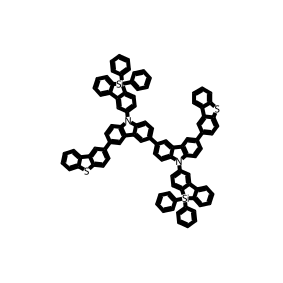 c1ccc([Si]2(c3ccccc3)c3ccccc3-c3cc(-n4c5ccc(-c6ccc7sc8ccccc8c7c6)cc5c5cc(-c6ccc7c(c6)c6cc(-c8ccc9sc%10ccccc%10c9c8)ccc6n7-c6ccc7c(c6)-c6ccccc6[Si]7(c6ccccc6)c6ccccc6)ccc54)ccc32)cc1